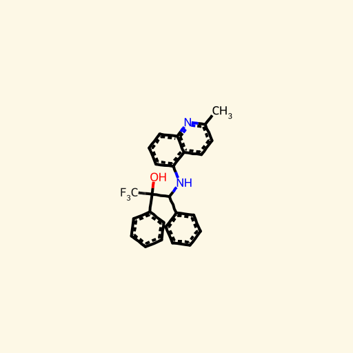 Cc1ccc2c(NC(c3ccccc3)C(O)(c3ccccc3)C(F)(F)F)cccc2n1